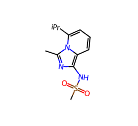 Cc1nc(NS(C)(=O)=O)c2cccc(C(C)C)n12